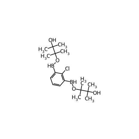 CC(C)(O)C(C)(C)OBc1cccc(BOC(C)(C)C(C)(C)O)c1Cl